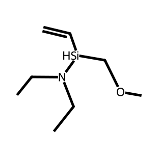 C=C[SiH](COC)N(CC)CC